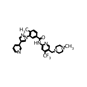 Cc1ccc(C(=O)Nc2cc(C(F)(F)F)c(CN3CCN(C)CC3)cn2)cc1-n1cc(-c2cccnc2)cn1